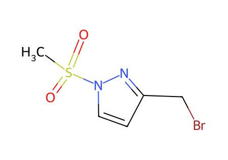 CS(=O)(=O)n1ccc(CBr)n1